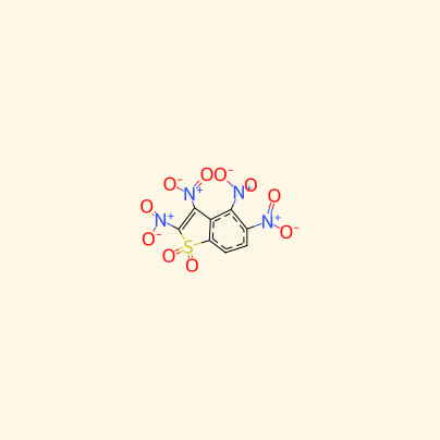 O=[N+]([O-])C1=C([N+](=O)[O-])S(=O)(=O)c2ccc([N+](=O)[O-])c([N+](=O)[O-])c21